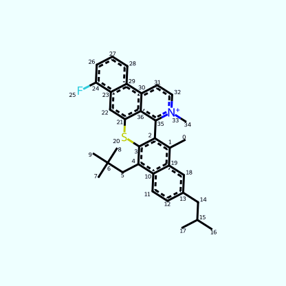 Cc1c2c(c(CC(C)(C)C)c3ccc(CC(C)C)cc13)Sc1cc3c(F)cccc3c3cc[n+](C)c-2c13